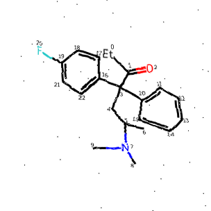 CCC(=O)C(CC(C)N(C)C)(c1ccccc1)c1ccc(F)cc1